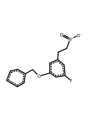 O=[N+]([O-])CCc1cc(F)cc(OCc2ccccc2)c1